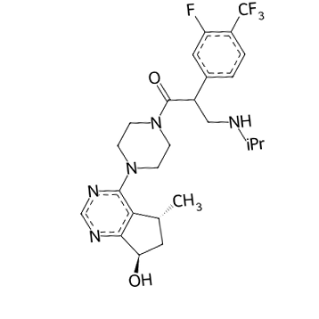 CC(C)NCC(C(=O)N1CCN(c2ncnc3c2[C@H](C)C[C@H]3O)CC1)c1ccc(C(F)(F)F)c(F)c1